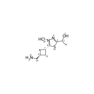 CC(O)c1nnc([C@H]2C[C@H](CN)C2)s1.Cl